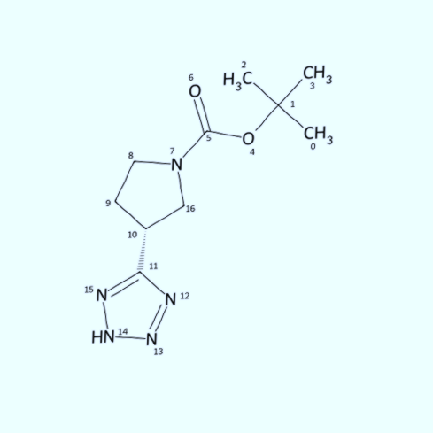 CC(C)(C)OC(=O)N1CC[C@@H](c2nn[nH]n2)C1